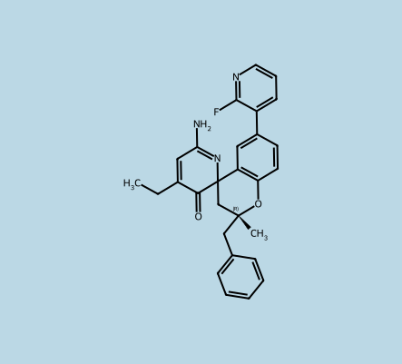 CCC1=CC(N)=NC2(C[C@@](C)(Cc3ccccc3)Oc3ccc(-c4cccnc4F)cc32)C1=O